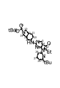 CCn1c(=O)c2cnc(Nc3ccc4cn(C(=O)OC(C)(C)C)cc4c3)nc2n1-c1cccc(C(C)(C)C)n1